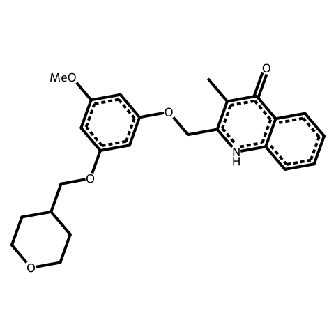 COc1cc(OCc2[nH]c3ccccc3c(=O)c2C)cc(OCC2CCOCC2)c1